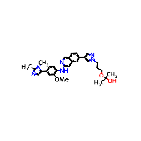 COc1cc(-c2cnc(C)n2C)ccc1Nc1cc2cc(-c3cnn(CCCOC(C)(C)O)c3)ccc2cn1